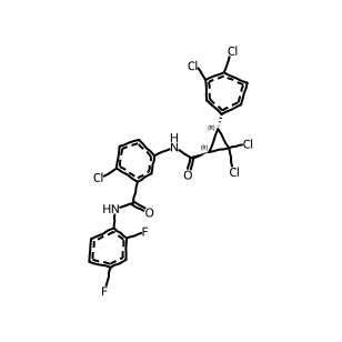 O=C(Nc1ccc(F)cc1F)c1cc(NC(=O)[C@H]2[C@H](c3ccc(Cl)c(Cl)c3)C2(Cl)Cl)ccc1Cl